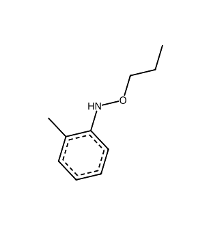 CCCONc1ccccc1C